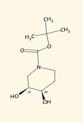 CC(C)(C)OC(=O)N1CC[C@@H](O)[C@@H](O)C1